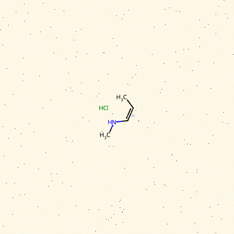 C/C=C\NC.Cl